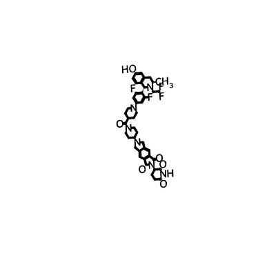 C[C@@H]1Cc2cc(O)ccc2[C@@H](c2c(F)cc(N3CCC(C(=O)N4CCC(N5Cc6cc7c(cc6C5)C(=O)N(C5CCC(=O)NC5=O)C7=O)CC4)CC3)cc2F)N1CC(F)F